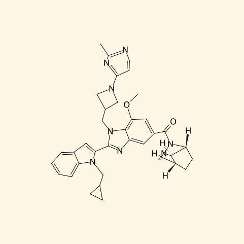 COc1cc(C(=O)N2C[C@H]3CC[C@@H]2[C@@H]3N)cc2nc(-c3cc4ccccc4n3CC3CC3)n(CC3CN(c4ccnc(C)n4)C3)c12